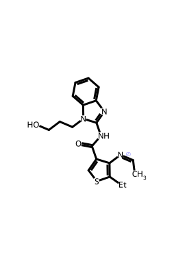 C/C=N\c1c(C(=O)Nc2nc3ccccc3n2CCCO)csc1CC